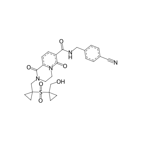 N#Cc1ccc(CNC(=O)c2ccc3n(c2=O)CCN(CC2(S(=O)(=O)C4(CO)CC4)CC2)C3=O)cc1